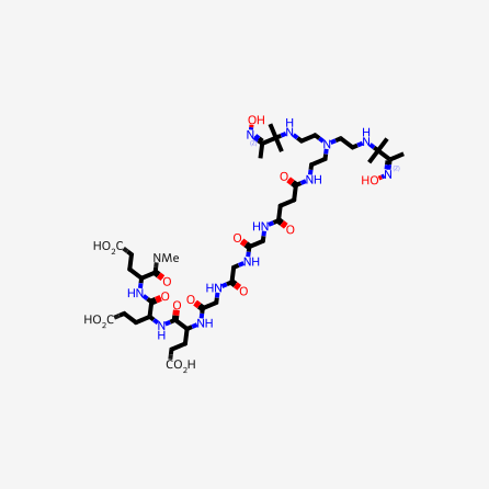 CNC(=O)C(CCC(=O)O)NC(=O)C(CCC(=O)O)NC(=O)C(CCC(=O)O)NC(=O)CNC(=O)CNC(=O)CNC(=O)CCC(=O)NCCN(CCNC(C)(C)/C(C)=N\O)CCNC(C)(C)/C(C)=N\O